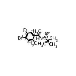 Cc1cc(Br)c(F)cc1[C@@H](C)N[S@@+]([O-])C(C)(C)C